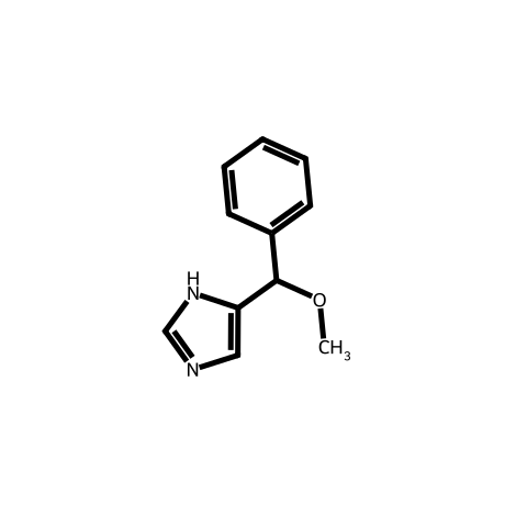 COC(c1ccccc1)c1cnc[nH]1